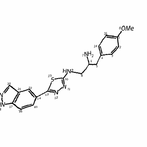 COc1ccc(CC(N)CNc2nnc(-c3ccc4[nH]ncc4c3)s2)cc1